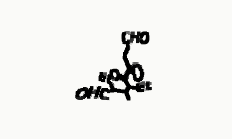 CCC(C=O)C(C)C(CC)C(=O)C(=O)CCC=O